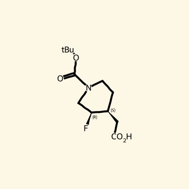 CC(C)(C)OC(=O)N1CC[C@@H](CC(=O)O)[C@@H](F)C1